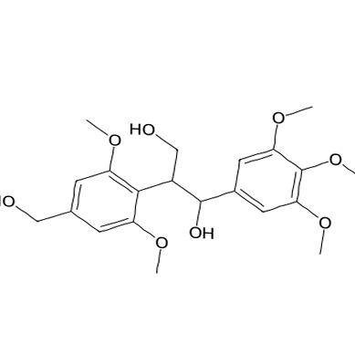 COc1cc(C(O)C(CO)c2c(OC)cc(CO)cc2OC)cc(OC)c1OC